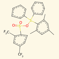 Cc1cc(C)c(S(OS(=O)(=O)c2ccc(C(F)(F)F)cc2C(F)(F)F)(c2ccccc2)c2ccccc2)c(C)c1